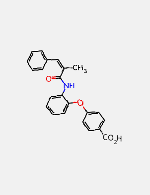 CC(=Cc1ccccc1)C(=O)Nc1ccccc1Oc1ccc(C(=O)O)cc1